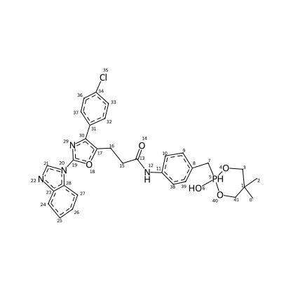 CC1(C)CO[PH](O)(Cc2ccc(NC(=O)CCc3oc(-n4cnc5ccccc54)nc3-c3ccc(Cl)cc3)cc2)OC1